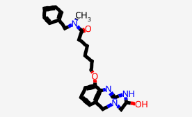 CN(Cc1ccccc1)C(=O)CCCCCOc1cccc2c1N=C1NC(O)CN1C2